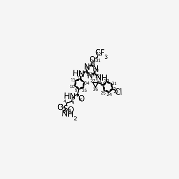 NS(=O)(=O)CCNC(=O)c1ccc(Nc2nc(NC3(c4ccc(Cl)cc4)CC3)nc(OCC(F)(F)F)n2)cc1